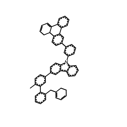 Cc1ccc(-c2ccc3c(c2)c2ccccc2n3-c2cccc(-c3ccc4c(c3)-c3ccccc3C3=CC=CCC34)c2)cc1-c1ccccc1CC1=CC=CCC1